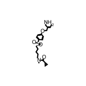 C/C=C(\CN)COc1ccc(S(=O)(=O)CCCCCN(C)C(=O)C2CC2)cc1